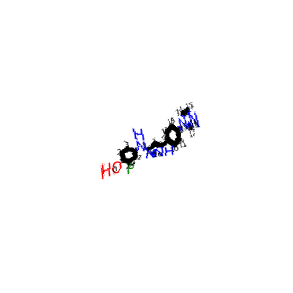 Oc1ccc(Nc2cc(-c3ccc(-n4ccnc4)cc3)[nH]n2)cc1F